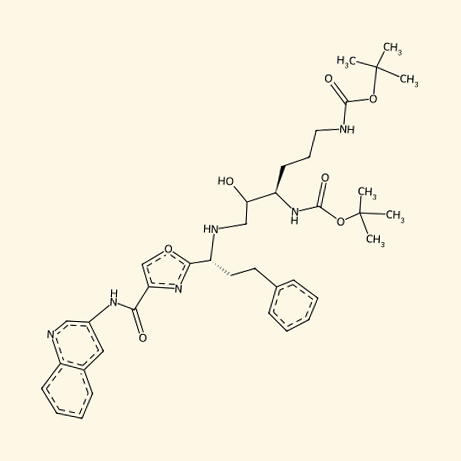 CC(C)(C)OC(=O)NCCC[C@@H](NC(=O)OC(C)(C)C)C(O)CN[C@H](CCc1ccccc1)c1nc(C(=O)Nc2cnc3ccccc3c2)co1